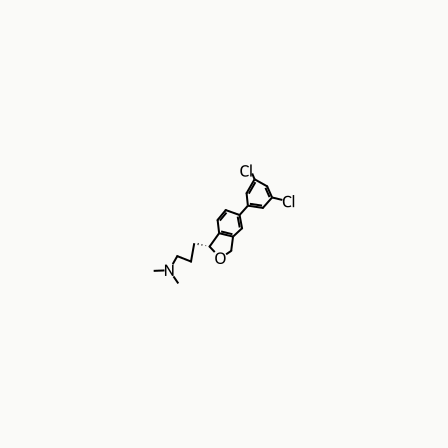 CN(C)CCC[C@H]1OCc2cc(-c3cc(Cl)cc(Cl)c3)ccc21